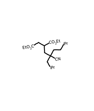 CCOC(=O)CC(CC(C#N)(CCC(C)C)CC(C)C)C(=O)OCC